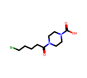 O=C(O)N1CCN(C(=O)CCCCBr)CC1